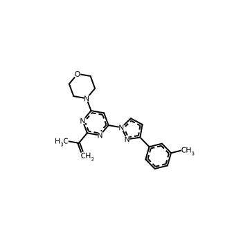 C=C(C)c1nc(N2CCOCC2)cc(-n2ccc(-c3cccc(C)c3)n2)n1